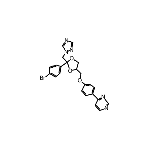 Brc1ccc(C2(Cn3cncn3)OCC(COc3ccc(-c4ccncn4)cc3)O2)cc1